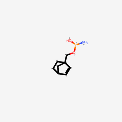 NP(O)OCC12C=CC(CC1)C2